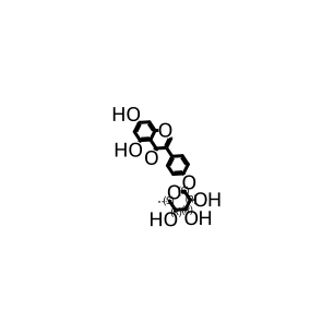 C[C@@H]1O[C@@H](Oc2ccc(-c3coc4cc(O)cc(O)c4c3=O)cc2)[C@H](O)[C@H](O)[C@H]1O